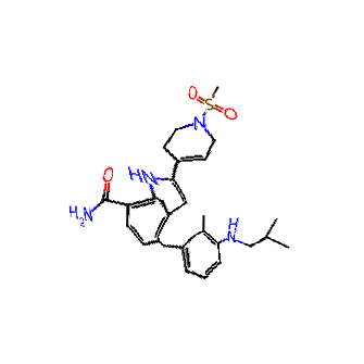 Cc1c(NCC(C)C)cccc1-c1ccc(C(N)=O)c2[nH]c(C3=CCN(S(C)(=O)=O)CC3)cc12